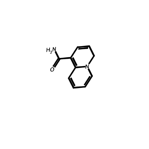 NC(=O)C1=C2C=CC=CN2CC=C1